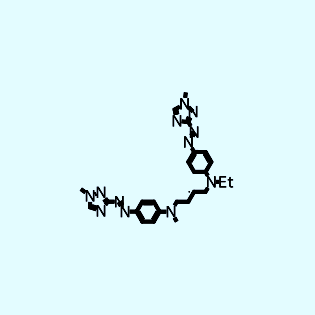 CCN(C[CH]CCN(C)c1ccc(N=Nc2ncn(C)n2)cc1)C1C=CC(N=Nc2ncn(C)n2)=CC1